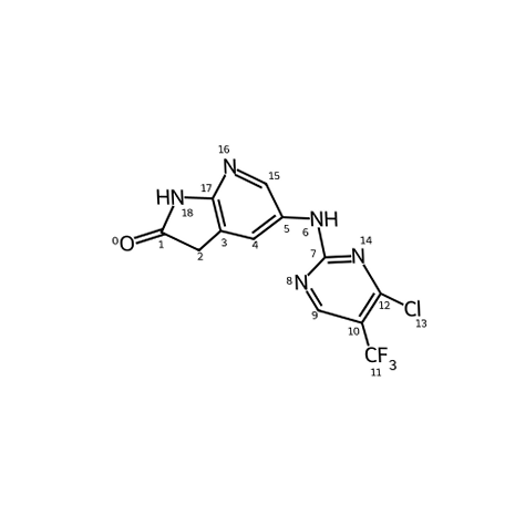 O=C1Cc2cc(Nc3ncc(C(F)(F)F)c(Cl)n3)cnc2N1